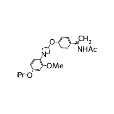 COc1cc(OC(C)C)ccc1N1CC(Oc2ccc([C@H](C)NC(C)=O)cc2)C1